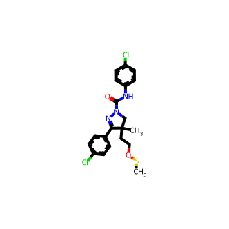 CSOCCC1(C)CN(C(=O)Nc2ccc(Cl)cc2)N=C1c1ccc(Cl)cc1